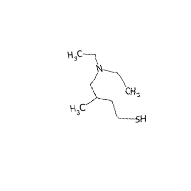 CCN(CC)CC(C)CCS